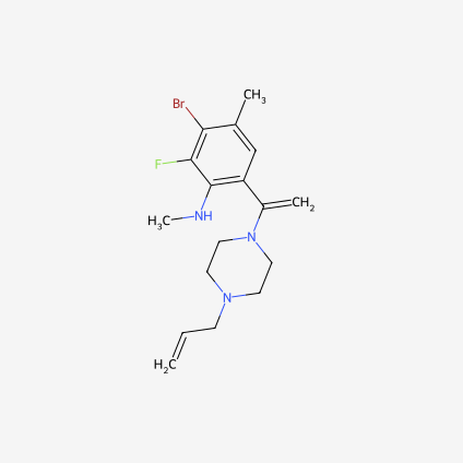 C=CCN1CCN(C(=C)c2cc(C)c(Br)c(F)c2NC)CC1